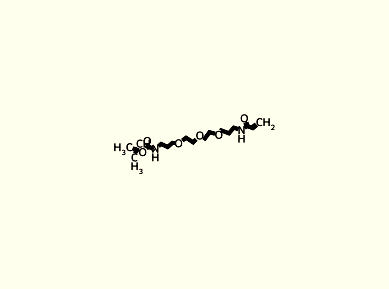 C=CC(=O)NCCCOCCOCCOCCCNC(=O)OC(C)(C)C